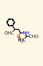 CCOC(CC(C=O)c1ccccc1)NC(C)C=O